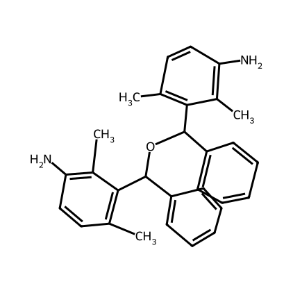 Cc1ccc(N)c(C)c1C(OC(c1ccccc1)c1c(C)ccc(N)c1C)c1ccccc1